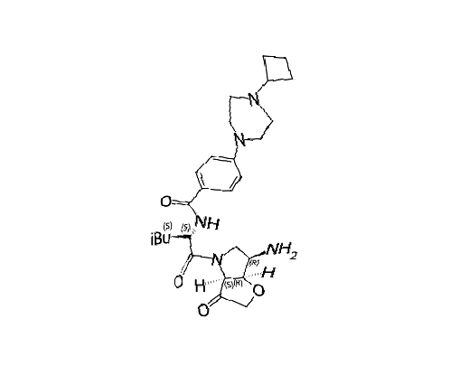 CC[C@H](C)[C@H](NC(=O)c1ccc(N2CCN(C3CCC3)CC2)cc1)C(=O)N1C[C@@H](N)[C@H]2OCC(=O)[C@H]21